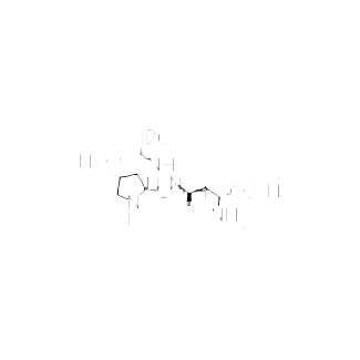 CC[C@H](C)[C@H](N)C(=O)O.NC(=O)C[C@H](N)C(=O)O.O=C(O)[C@@H]1CCCN1